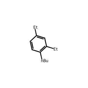 [CH2]CCCc1ccc(CC)cc1CC